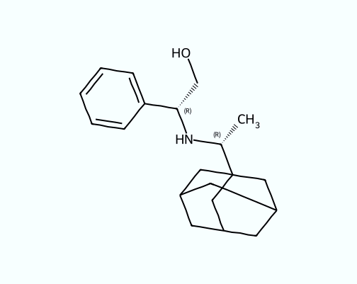 C[C@@H](N[C@@H](CO)c1ccccc1)C12CC3CC(CC(C3)C1)C2